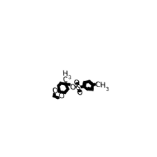 Cc1ccc(S(=O)(=O)OCC2(C)CCC3(CC2)OCCO3)cc1